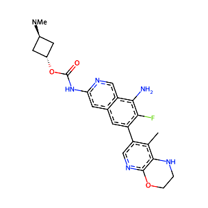 CN[C@H]1C[C@H](OC(=O)Nc2cc3cc(-c4cnc5c(c4C)NCCO5)c(F)c(N)c3cn2)C1